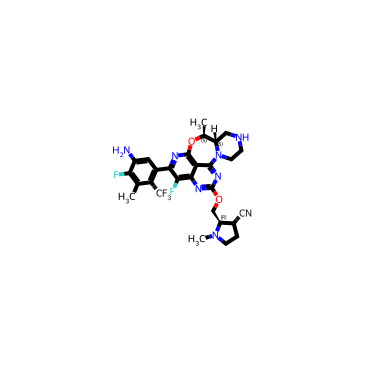 Cc1c(F)c(N)cc(-c2nc3c4c(nc(OC[C@H]5C(C#N)CCN5C)nc4c2F)N2CCNC[C@H]2[C@H](C)O3)c1C(F)(F)F